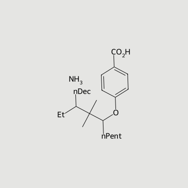 CCCCCCCCCCC(CC)C(C)(C)C(CCCCC)Oc1ccc(C(=O)O)cc1.N